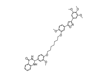 COc1cc(C2NC(=O)c3ccccc3N2)ccc1OCCCCCCCOc1cc(-c2cc(-c3cc(OC)c(OC)c(OC)c3)no2)ccc1OC